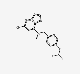 C[C@H](Cc1ccc(OC(F)F)cn1)c1cc(Cl)nn2ccnc12